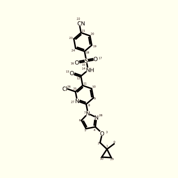 CC1(COc2ccn(-c3ccc(C(=O)NS(=O)(=O)c4ccc(C#N)cc4)c(Cl)n3)n2)CC1